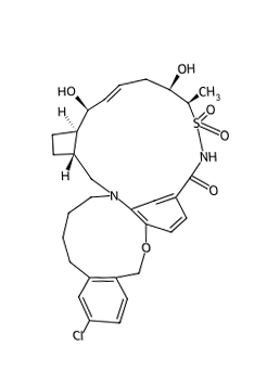 C[C@@H]1[C@H](O)C/C=C/[C@H](O)[C@@H]2CC[C@H]2CN2CCCCc3cc(Cl)ccc3COc3ccc(cc32)C(=O)NS1(=O)=O